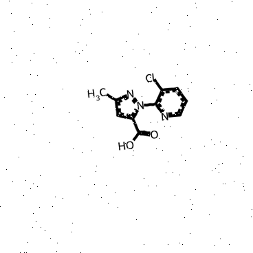 Cc1cc(C(=O)O)n(-c2ncccc2Cl)n1